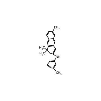 Cc1cccc(NC2=Cc3cc4cc(C)ccc4cc3C(C)(C)C2)c1